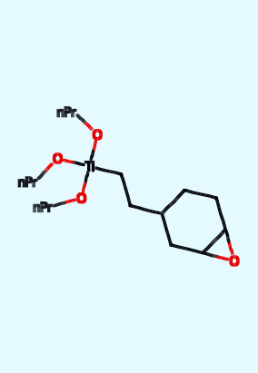 CCC[O][Ti]([CH2]CC1CCC2OC2C1)([O]CCC)[O]CCC